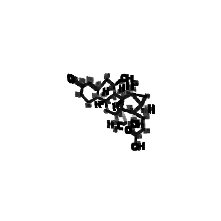 CC[C@]12CC[C@H]3[C@H]([C@@H]1[C@H]1C[C@H]1[C@@]2(O)/C=C\C(=O)O)[C@H](C)CC1=CC(=O)CC[C@@H]13